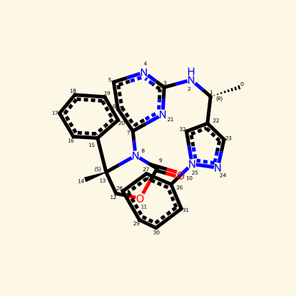 C[C@@H](Nc1nccc(N2C(=O)OC[C@]2(C)c2ccccc2)n1)c1cnn(-c2ccccc2)c1